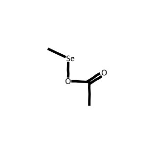 C[Se]OC(C)=O